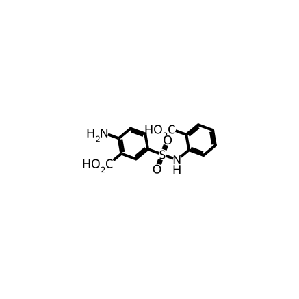 Nc1ccc(S(=O)(=O)Nc2ccccc2C(=O)O)cc1C(=O)O